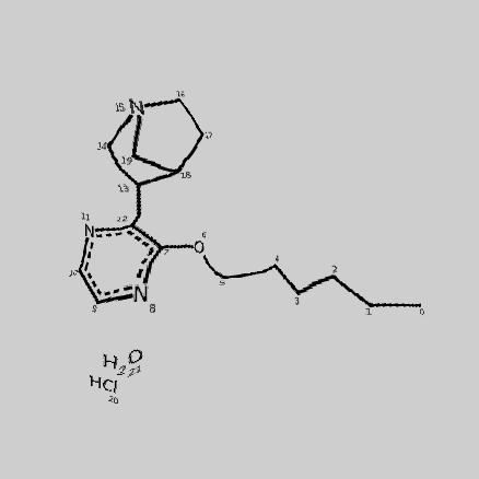 CCCCCCOc1nccnc1C1CN2CCC1C2.Cl.O